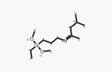 CC[Si](CCCN=C(C)CC(C)C)(OC)OC